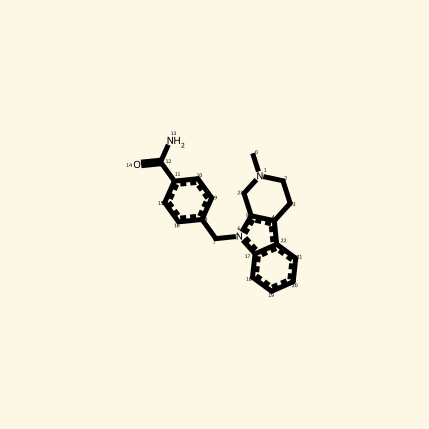 CN1CCc2c(n(Cc3ccc(C(N)=O)cc3)c3ccccc23)C1